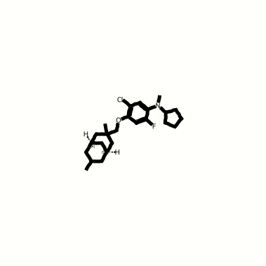 CC1C[C@@H]2C[C@H](C1)CC(C)(COc1cc(F)c(N(C)C3CCCC3)cc1Cl)C2